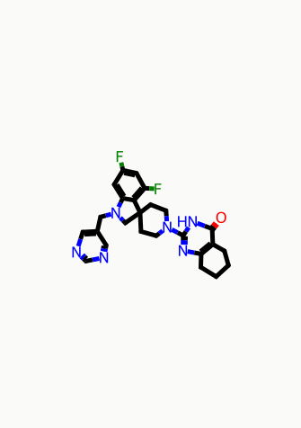 O=c1[nH]c(N2CCC3(CC2)CN(Cc2cncnc2)c2cc(F)cc(F)c23)nc2c1CCCC2